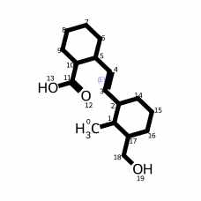 CC1C(/C=C/C2CCCCC2C(=O)O)CCCC1CO